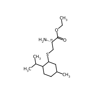 CCOC(=O)[C@@H](N)CSC1CC(C)CCC1C(C)C